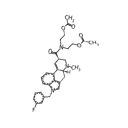 CC(=O)OCCN(CCOC(C)=O)C(=O)[C@@H]1C=C2c3cccc4c3c(cn4Cc3cccc(F)c3)C[C@H]2N(C)C1